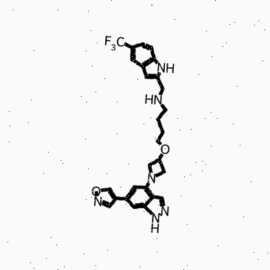 FC(F)(F)c1ccc2[nH]c(CNCCCCOC3CN(c4cc(-c5cnoc5)cc5[nH]ncc45)C3)cc2c1